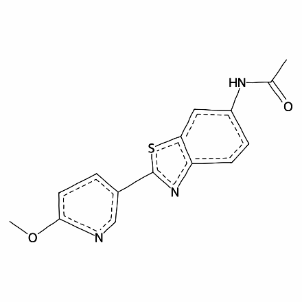 COc1ccc(-c2nc3ccc(NC(C)=O)cc3s2)cn1